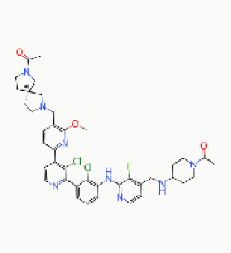 COc1nc(-c2ccnc(-c3cccc(Nc4nccc(CNC5CCN(C(C)=O)CC5)c4F)c3Cl)c2Cl)ccc1CN1CC[C@@]2(CCN(C(C)=O)C2)C1